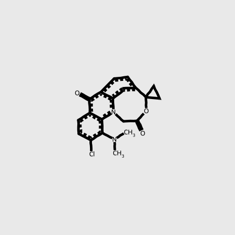 CN(C)c1c(Cl)ccc2c(=O)c3ccc4cc3n(c12)CC(=O)OC41CC1